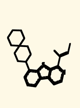 C/C=C(\C)c1nccc2c1sc1c(C3CCC4(CCCCC4)CC3)cccc12